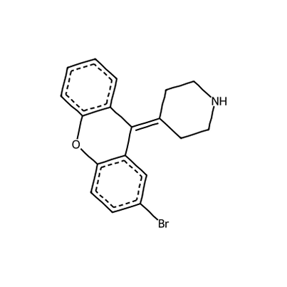 Brc1ccc2c(c1)C(=C1CCNCC1)c1ccccc1O2